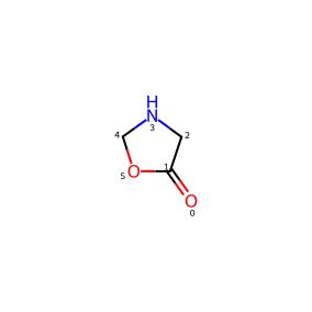 O=C1CNCO1